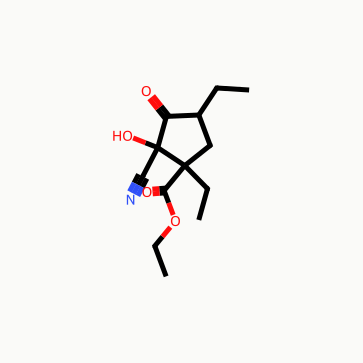 CCOC(=O)C1(CC)CC(CC)C(=O)C1(O)C#N